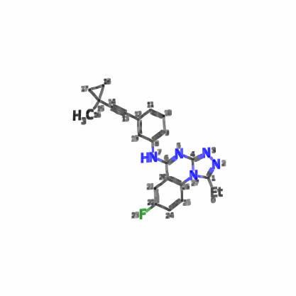 CCc1nnc2nc(Nc3cccc(C#CC4(C)CC4)c3)c3cc(F)ccc3n12